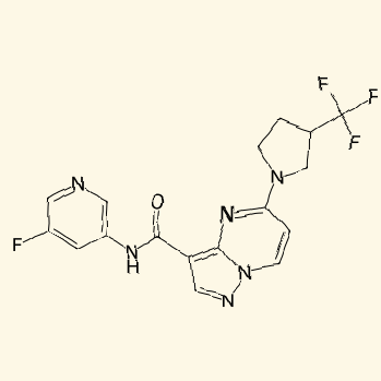 O=C(Nc1cncc(F)c1)c1cnn2ccc(N3CCC(C(F)(F)F)C3)nc12